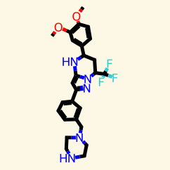 COc1ccc(C2CC(C(F)(F)F)n3nc(-c4cccc(CN5CCNCC5)c4)cc3N2)cc1OC